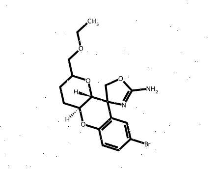 CCOCC1CC[C@@H]2Oc3ccc(Br)cc3C3(COC(N)=N3)[C@H]2O1